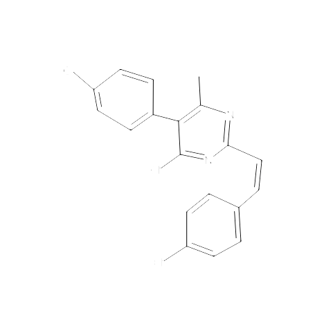 Cc1nc(/C=C\c2ccc(Cl)cc2)nc(Cl)c1-c1ccc(Cl)cc1